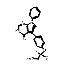 O=c1[nH]cnc2c1c(-c1ccc(OC(F)(F)CO)cc1)cn2-c1ccccc1